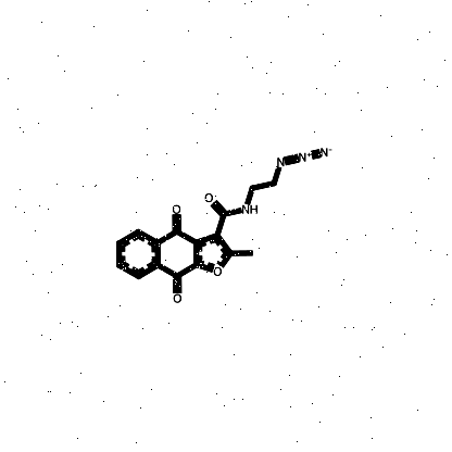 Cc1oc2c(c1C(=O)NCCN=[N+]=[N-])C(=O)c1ccccc1C2=O